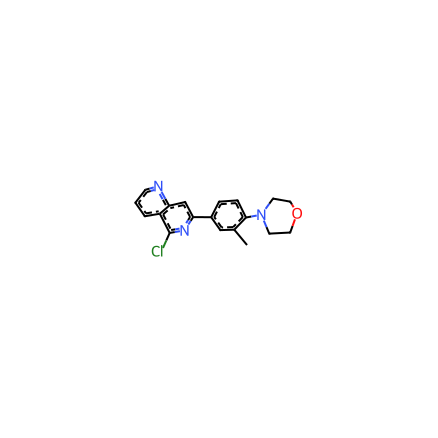 Cc1cc(-c2cc3ncccc3c(Cl)n2)ccc1N1CCOCC1